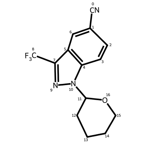 N#Cc1ccc2c(c1)c(C(F)(F)F)nn2C1CCCCO1